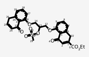 CCOC(=O)C1=CC(=O)c2c(cccc2OCC(COc2cccc3c2C(=O)C=CC3)OS(C)(=O)=O)C1